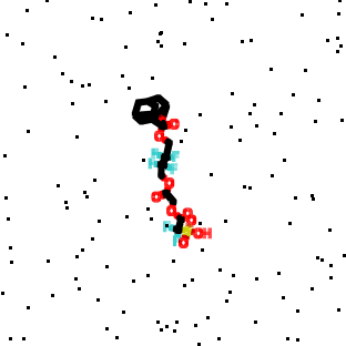 O=C(COC(=O)C(F)(F)S(=O)(=O)O)OCC(F)(F)C(F)(F)COC(=O)C12CC3CC(C1)C(=O)C(C3)C2